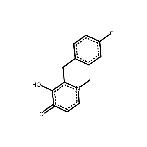 Cn1ccc(=O)c(O)c1Cc1ccc(Cl)cc1